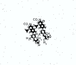 Cc1oc(=O)oc1CN1C(C)CN(c2c(F)cc3c(=O)c(C(=O)O)cn(C4CC4)c3c2F)CC1C.Cc1oc(=O)oc1CN1CCN(c2c(F)cc3c(=O)c(C(=O)O)cn(C4CC4)c3c2F)CC1C